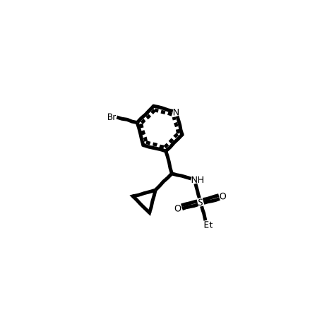 CCS(=O)(=O)NC(c1cncc(Br)c1)C1CC1